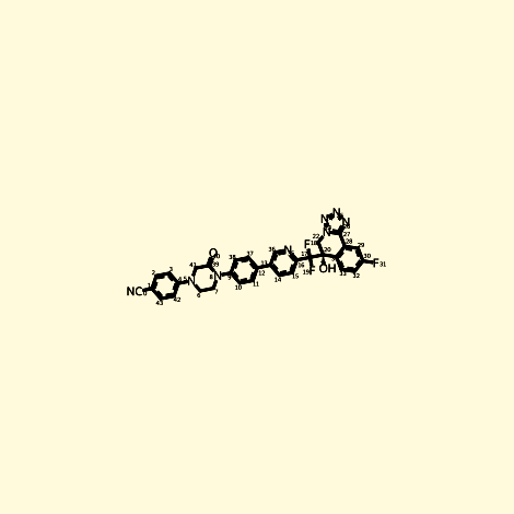 N#Cc1ccc(N2CCN(c3ccc(-c4ccc(C(F)(F)[C@]5(O)Cn6nnnc6-c6cc(F)ccc65)nc4)cc3)C(=O)C2)cc1